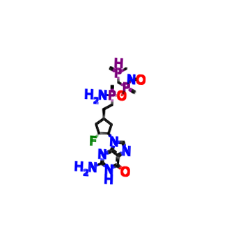 C=[PH](C)CP(=C)(N=O)OP(=C)(N)CC[C@@H]1C[C@@H](F)[C@H](n2cnc3c(=O)[nH]c(N)nc32)C1